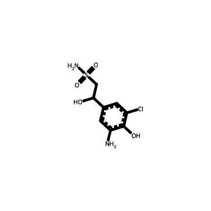 Nc1cc(C(O)CS(N)(=O)=O)cc(Cl)c1O